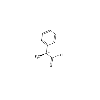 O=C(S)[C@H](c1ccccc1)C(F)(F)F